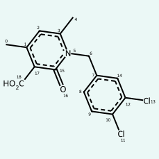 Cc1cc(C)n(Cc2ccc(Cl)c(Cl)c2)c(=O)c1C(=O)O